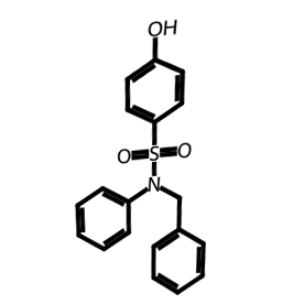 O=S(=O)(c1ccc(O)cc1)N(Cc1ccccc1)c1ccccc1